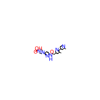 Cc1cc(-c2ncc(CC(=O)Nc3ccc(N4CCN(C(=O)O)CC4)cn3)cc2C)ccn1